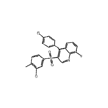 Cc1ccc(S(=O)(=O)c2cnc3c(F)cccc3c2-c2ccc(Cl)cc2)cc1Cl